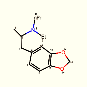 CCCN(CC)C(C)Cc1ccc2c(c1)OCO2